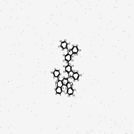 c1ccc(-c2nc3ccccc3c3c2cc(-n2c4ccccc4c4cc(-c5ccc6c(c5)c5ccccc5n6-c5ccccc5)ccc42)c2oc4ccccc4c23)cc1